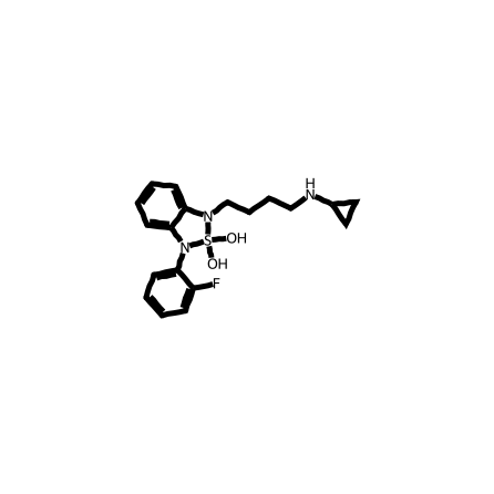 OS1(O)N(CCCCNC2CC2)c2ccccc2N1c1ccccc1F